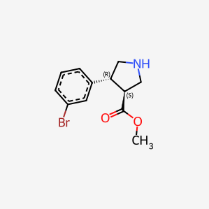 COC(=O)[C@@H]1CNC[C@H]1c1cccc(Br)c1